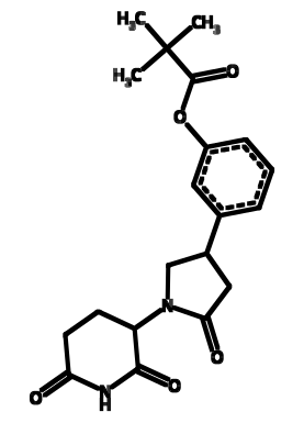 CC(C)(C)C(=O)Oc1cccc(C2CC(=O)N(C3CCC(=O)NC3=O)C2)c1